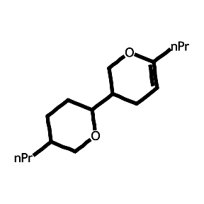 CCCC1=CCC(C2CCC(CCC)CO2)CO1